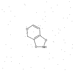 C1=CC2=C(CO1)ONO2